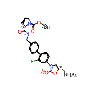 CC(=O)NC[C@H]1CN(c2ccc(-c3ccc(CNC(=O)[C@@H]4C=CCN4C(=O)OC(C)(C)C)cc3)c(F)c2)C(O)O1